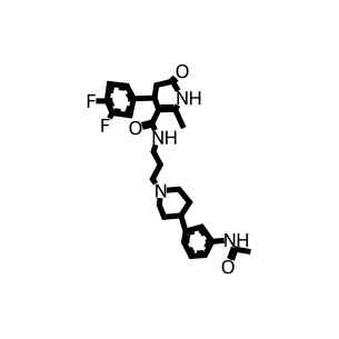 CC(=O)Nc1cccc(C2CCN(CCCNC(=O)C3=C(C)NC(=O)CC3c3ccc(F)c(F)c3)CC2)c1